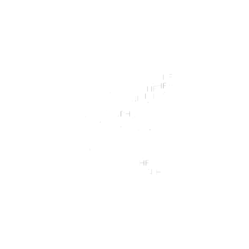 CCCC[PH](CCCC)(CCCC)CCCC.F.F.F.F.F.F.[SbH3]